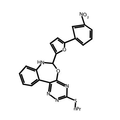 CCCSc1nnc2c(n1)OC(c1ccc(-c3cccc([N+](=O)[O-])c3)o1)Nc1ccccc1-2